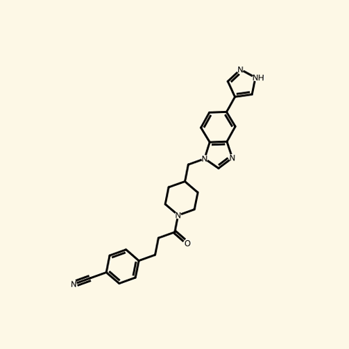 N#Cc1ccc(CCC(=O)N2CCC(Cn3cnc4cc(-c5cn[nH]c5)ccc43)CC2)cc1